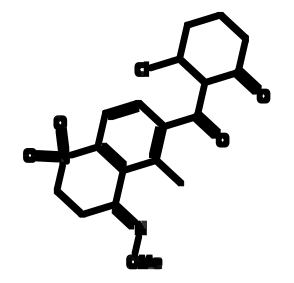 CO/N=C1\CCS(=O)(=O)c2ccc(C(=O)C3C(=O)CCCC3Cl)c(C)c21